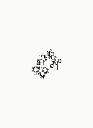 O=C1NC(=O)C(=Cc2ccnc(N3CCC(CNCc4cccc(-c5cncc6ccccc56)n4)CC3)n2)S1